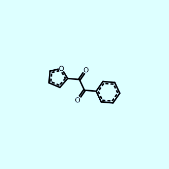 O=C(C(=O)c1ccco1)c1ccccc1